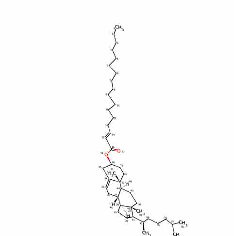 CCCCCCCCCCCCCC/C=C/C(=O)O[C@H]1CC[C@@]2(C)C(=CC[C@H]3[C@@H]4CC[C@H]([C@H](C)CCCC(C)C)[C@@]4(C)CC[C@@H]32)C1